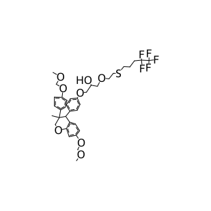 COCOc1ccc(C2(C)COc3cc(OCOC)ccc3C2c2ccc(OC[C@H](O)COCCSCCCC(F)(F)C(F)(F)F)cc2)cc1